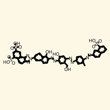 Cc1cc(N=Nc2cc(O)c(N=Nc3ccc4cc(-n5nc6ccc7c(S(=O)(=O)O)cc(S(=O)(=O)O)cc7c6n5)ccc4c3O)cc2CO)ccc1N=Nc1ccc2cccc(S(=O)(=O)O)c2c1